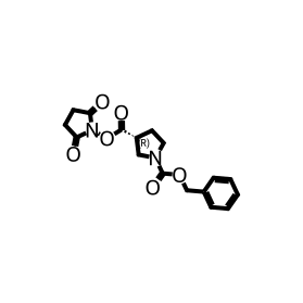 O=C(ON1C(=O)CCC1=O)[C@@H]1CCN(C(=O)OCc2ccccc2)C1